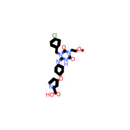 COCCn1c(=O)[nH]/c(=N\c2ccc(Oc3ccnc(C(=O)O)c3)cc2)n(Cc2ccc(Cl)cc2)c1=O